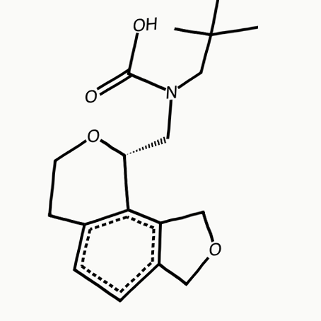 CC(C)(C)CN(C[C@H]1OCCc2ccc3c(c21)COC3)C(=O)O